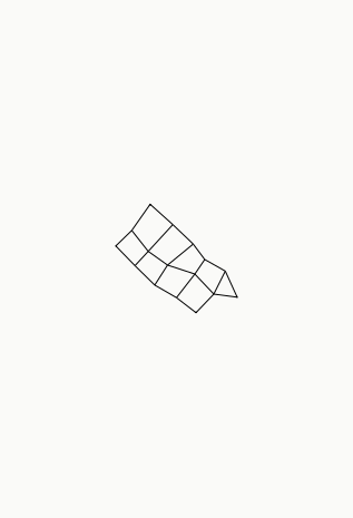 C1C2CC3C4C5C6CC67CC6C8C1C23C84C657